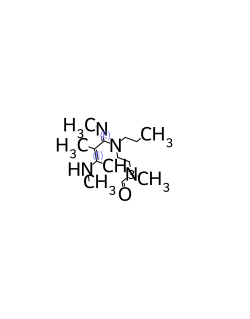 CCCN(CCN(C)C=O)C(=N/C)/C(C)=C(\C)NC